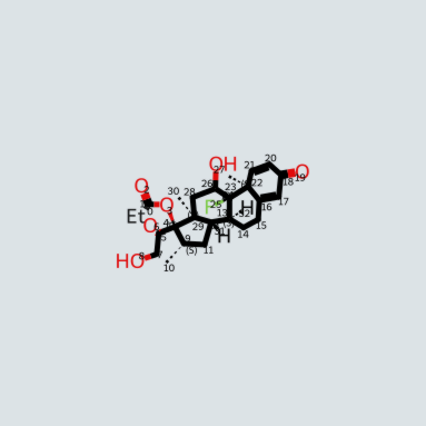 CCC(=O)O[C@]1(C(=O)CO)[C@@H](C)C[C@H]2[C@@H]3CCC4=CC(=O)C=C[C@]4(C)[C@@]3(F)C(O)C[C@@]21C